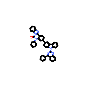 O=c1n(-c2ccccc2)c2cc(-c3ccc4c(c3)c3ccccc3n4-c3nc(-c4ccccc4)c4ccccc4n3)ccc2c2nc3ccccc3n12